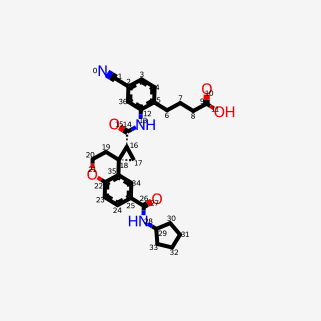 N#Cc1ccc(CCCC(=O)O)c(NC(=O)[C@@H]2C[C@]23CCOc2ccc(C(=O)NC4CCCC4)cc23)c1